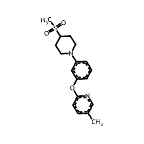 Cc1ccc(Oc2cccc(N3CCC(S(C)(=O)=O)CC3)c2)nc1